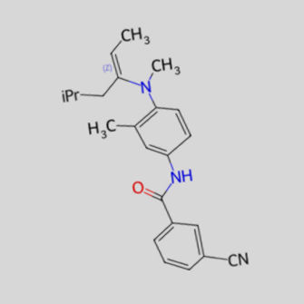 C/C=C(/CC(C)C)N(C)c1ccc(NC(=O)c2cccc(C#N)c2)cc1C